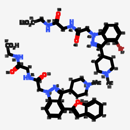 CC(=O)N1CCC(c2nn(CC(=O)NCC(=O)NCC(=O)O)c3cccc(-c4cc5ccccc5o4)c23)CC1.CCOC(=O)CNC(=O)CNC(=O)Cn1nc(C2CCN(C(C)=O)CC2)c2c(Br)cccc21